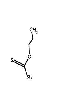 CCCOC(=S)S